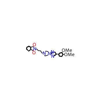 COc1ccc(-c2cnc(N3CCN(CCCCN4C(=O)c5ccccc5C4=O)CC3)nc2)cc1OC